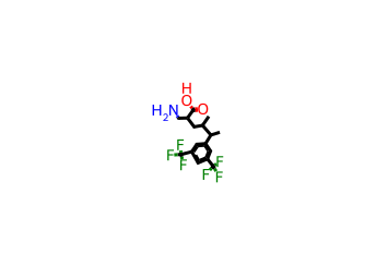 CC(CC(CN)C(=O)O)C(C)c1cc(C(F)(F)F)cc(C(F)(F)F)c1